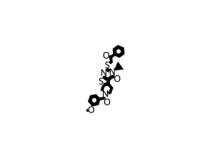 COc1cccc(C(=O)N2CCc3c(sc4nc(SCC(=O)c5ccccc5)n(C5CC5)c(=O)c34)C2)c1